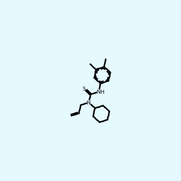 C=CCN(C(=S)Nc1ccc(C)c(C)c1)C1CCCCC1